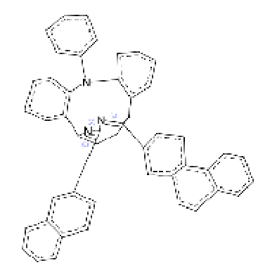 C1=C2/N=C(c3ccc4ccccc4c3)\N=C(\c3ccc4c(ccc5ccccc54)c3)C(C/1)c1ccccc1N(c1ccccc1)c1ccccc12